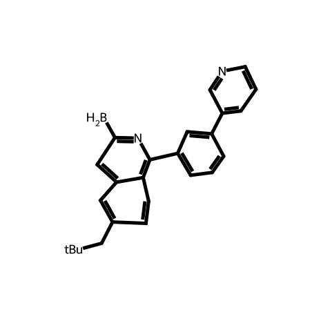 Bc1cc2cc(CC(C)(C)C)ccc2c(-c2cccc(-c3cccnc3)c2)n1